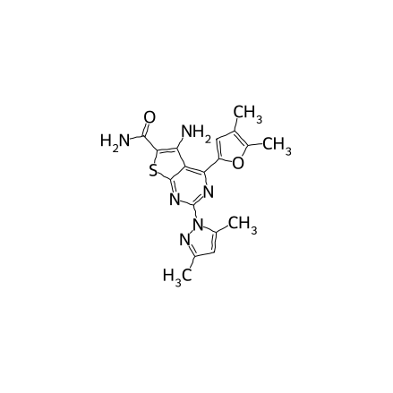 Cc1cc(C)n(-c2nc(-c3cc(C)c(C)o3)c3c(N)c(C(N)=O)sc3n2)n1